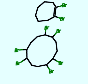 BrC1=C(Br)CCCCCC1.BrC1CCC(Br)C(Br)CCC(Br)C(Br)CCC1Br